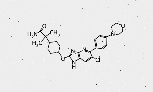 CC(C)(C(N)=O)C1CCC(Oc2nc3nc(-c4ccc(N5CCOCC5)cc4)c(Cl)cc3[nH]2)CC1